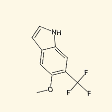 COc1cc2cc[nH]c2cc1C(F)(F)F